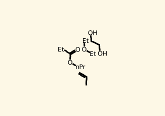 C=CC.CCCOC(=O)CC.CCOCC.OCCO